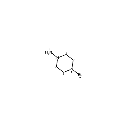 CCN1CCN(N)CC1